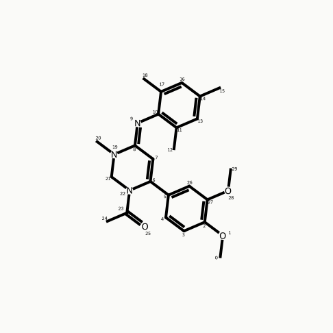 COc1ccc(C2=CC(=Nc3c(C)cc(C)cc3C)N(C)CN2C(C)=O)cc1OC